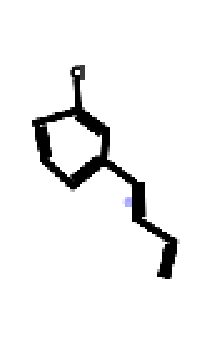 C=C/C=C/c1cccc(Cl)c1